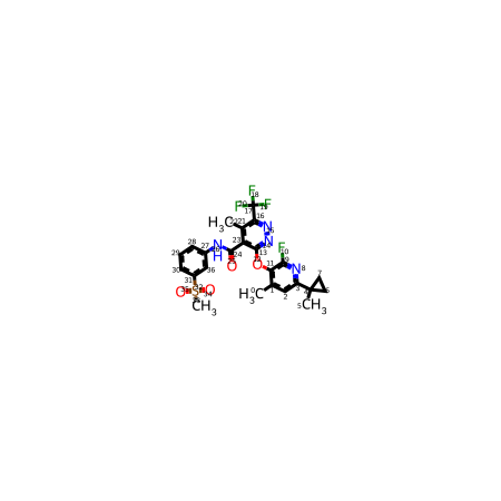 Cc1cc(C2(C)CC2)nc(F)c1Oc1nnc(C(F)(F)F)c(C)c1C(=O)Nc1cccc(S(C)(=O)=O)c1